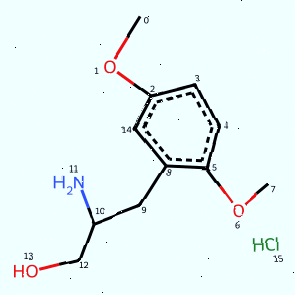 COc1ccc(OC)c(CC(N)CO)c1.Cl